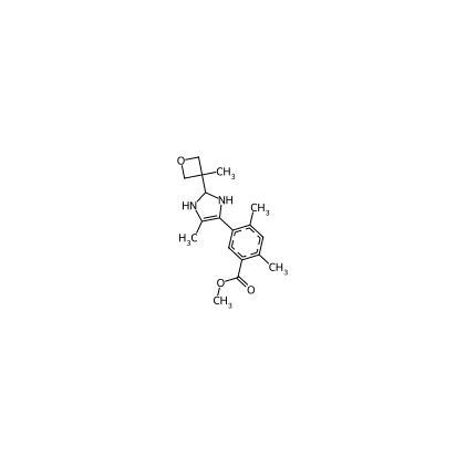 COC(=O)c1cc(C2=C(C)NC(C3(C)COC3)N2)c(C)cc1C